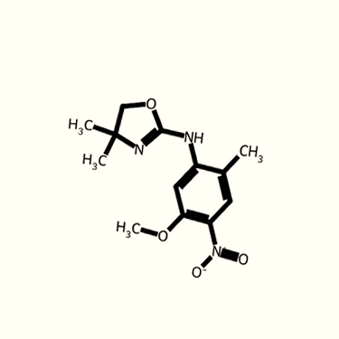 COc1cc(NC2=NC(C)(C)CO2)c(C)cc1[N+](=O)[O-]